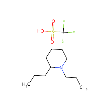 CCCC1CCCCN1CCC.O=S(=O)(O)C(F)(F)F